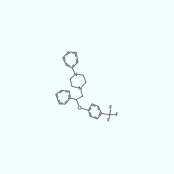 FC(F)(F)c1ccc(OC(CN2CCN(c3ccccc3)CC2)c2ccccc2)cc1